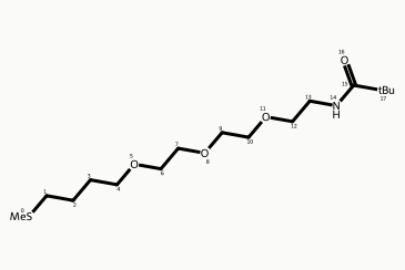 CSCCCCOCCOCCOCCNC(=O)C(C)(C)C